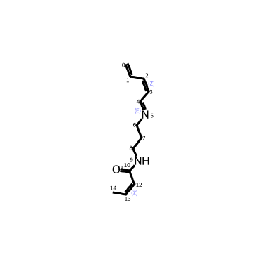 C=C/C=C\C=N\CCCNC(=O)/C=C\C